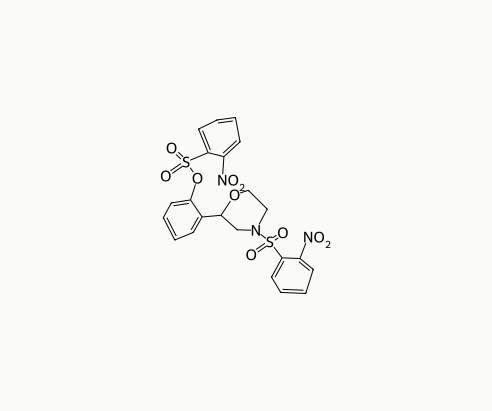 O=[N+]([O-])c1ccccc1S(=O)(=O)Oc1ccccc1C1CN(S(=O)(=O)c2ccccc2[N+](=O)[O-])CCO1